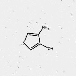 Nc1cscc1O